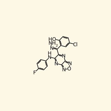 NN=C(c1cc(Cl)ccc1O)c1nc2nonc2nc1Nc1ccc(F)cc1